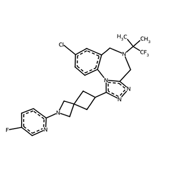 CC(C)(N1Cc2cc(Cl)ccc2-n2c(nnc2C2CC3(C2)CN(c2ccc(F)cn2)C3)C1)C(F)(F)F